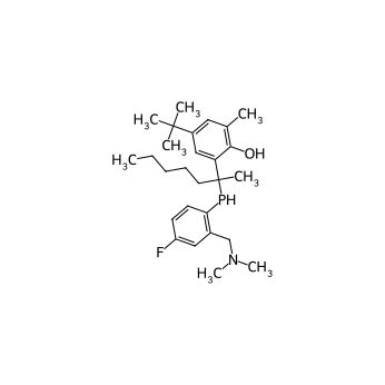 CCCCCC(C)(Pc1ccc(F)cc1CN(C)C)c1cc(C(C)(C)C)cc(C)c1O